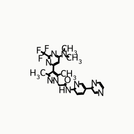 Cc1nn(CC(=O)Nc2ccc(-c3cnccn3)cn2)c(C)c1-c1cc(N(C)C)nc(C(F)(F)F)n1